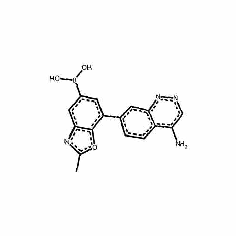 Cc1nc2cc(B(O)O)cc(-c3ccc4c(N)cnnc4c3)c2o1